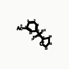 CC(=O)c1cccc(C(F)(F)C2CCCO2)c1